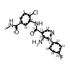 CNC(=O)c1ccc(Cl)c(NC(=O)c2cnn(-c3ccc(F)cc3)c2N)c1